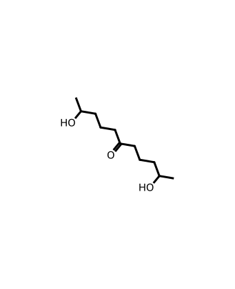 CC(O)CCCC(=O)CCCC(C)O